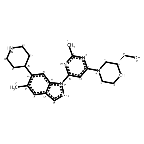 Cc1nc(N2CCO[C@@H](CO)C2)cc(-n2ncc3cc(C)c(C4CCNCC4)cc32)n1